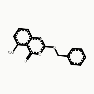 CC(C)(C)c1cccc2nc(OCc3ccccc3)oc(=O)c12